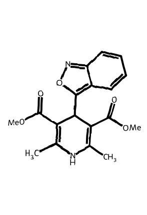 COC(=O)C1=C(C)NC(C)=C(C(=O)OC)C1c1onc2ccccc12